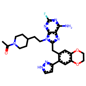 CC(=O)N1CCC(CCn2c(Cc3cc4c(cc3-c3cc[nH]n3)OCCO4)nc3c(N)nc(F)nc32)CC1